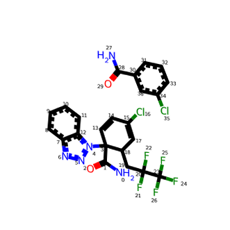 NC(=O)C1(n2nnc3ccccc32)C=CC(Cl)=CC1CC(F)(F)C(F)(F)F.NC(=O)c1cccc(Cl)c1